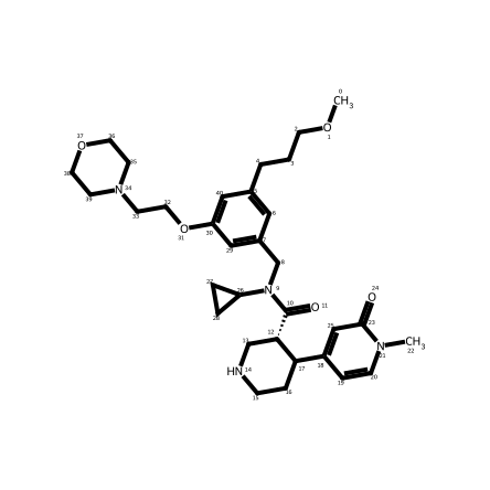 COCCCc1cc(CN(C(=O)[C@H]2CNCCC2c2ccn(C)c(=O)c2)C2CC2)cc(OCCN2CCOCC2)c1